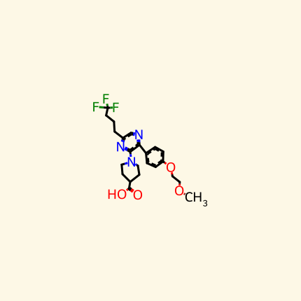 COCCOc1ccc(-c2ncc(CCCC(F)(F)F)nc2N2CCC(C(=O)O)CC2)cc1